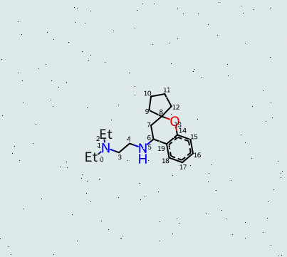 CCN(CC)CCNC1CC2(CCCC2)Oc2ccccc21